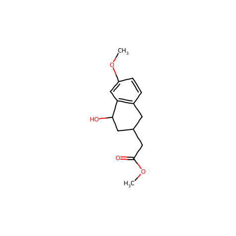 COC(=O)CC1Cc2ccc(OC)cc2C(O)C1